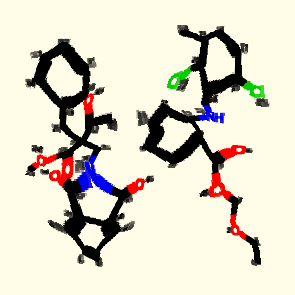 CCOCOC(=O)c1ccccc1Nc1c(Cl)ccc(C)c1Cl.COC(=O)C(Cc1ccccc1)(CN1C(=O)c2ccccc2C1=O)C(C)=O